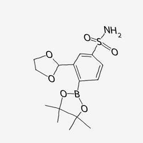 CC1(C)OB(c2ccc(S(N)(=O)=O)cc2C2OCCO2)OC1(C)C